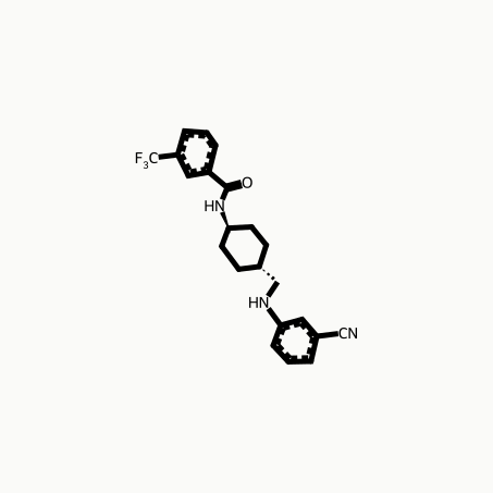 N#Cc1cccc(NC[C@H]2CC[C@H](NC(=O)c3cccc(C(F)(F)F)c3)CC2)c1